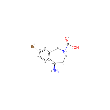 N[C@@H]1CCN(C(=O)O)Cc2cc(Br)ccc21